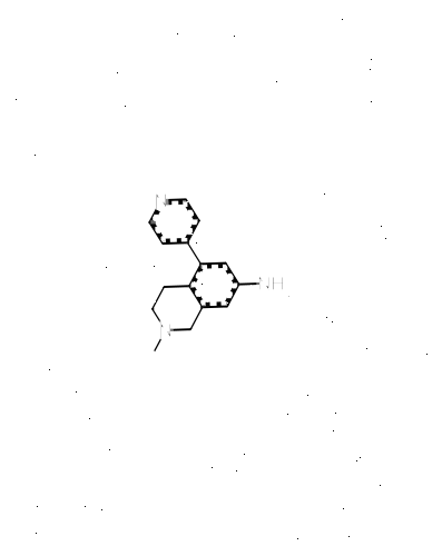 CN1CCc2c(cc(N)cc2-c2ccncc2)C1